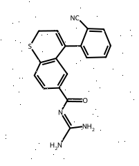 N#Cc1ccccc1C1=CCSc2ccc(C(=O)N=C(N)N)cc21